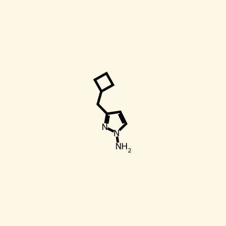 Nn1ccc(CC2CCC2)n1